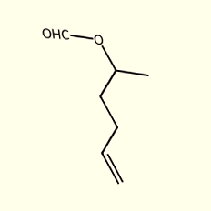 C=CCCC(C)OC=O